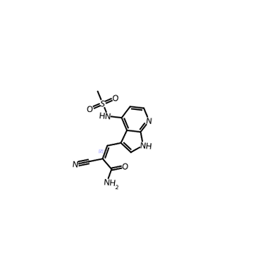 CS(=O)(=O)Nc1ccnc2[nH]cc(/C=C(/C#N)C(N)=O)c12